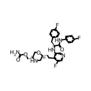 NC(=O)OC[C@@H]1CO[C@H](CCc2c(F)cncc2N[C@@H](Cc2ccc(F)cc2)C(=O)Nc2ccc(F)cc2)CN1